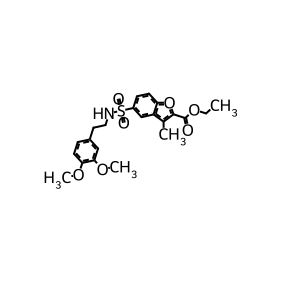 CCOC(=O)c1oc2ccc(S(=O)(=O)NCCc3ccc(OC)c(OC)c3)cc2c1C